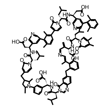 C=C(/C=N\C=C(/C)c1c(C)cccc1Cc1ccc2ncn([C@@H](CC(C)C)C(=O)N[C@@H](CC(=O)O)c3cccc(N4C(C)CC(Cc5ccn([C@@H](CC(C)C)C(=O)N[C@@H](CC(=O)O)c6cncc(-c7c(C)ccc(-c8ccn([C@H](CC(C)C)C(=O)N[C@@H](CC(=O)O)c9cncc(-c%10c(C)cccc%10C)c9)c(=O)c8)c7C)c6)c(=O)c5)C4C)c3)c(=O)c2c1)[C@@H](CC(=O)O)NC(=O)[C@@H](CC(C)C)n1cc(C)c(C)cc1=O